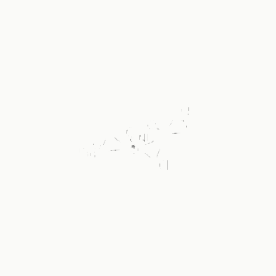 CC(C)(C)Oc1ccc(S(=O)(=O)Nc2ccc(Cl)cc2C(=O)c2ccnc(C(F)(F)F)c2)cc1